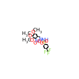 COc1cc(C=NNS(=O)(=O)c2ccc(C(F)(F)F)cc2)c([N+](=O)[O-])c(OC)c1OC